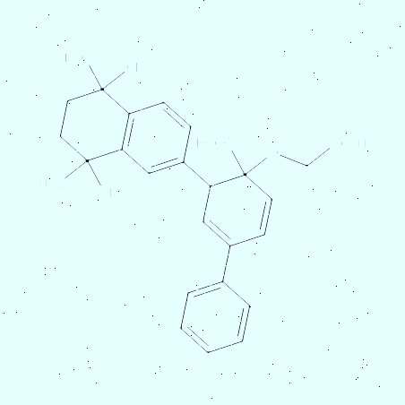 CC1(C)CCC(C)(C)c2cc(C3C=C(c4ccccc4)C=CC3(OCC(=O)O)C(=O)O)ccc21